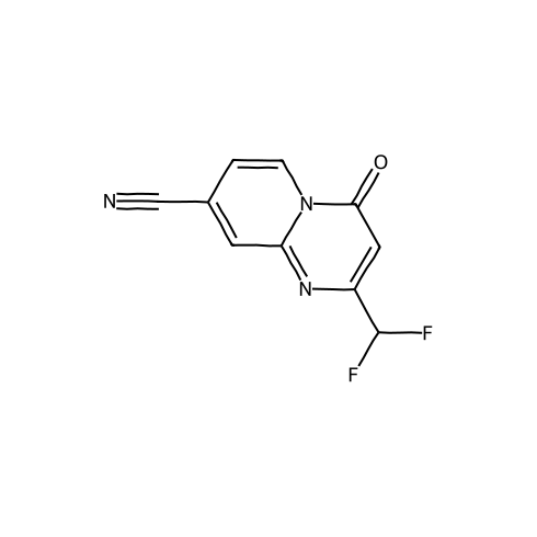 N#Cc1ccn2c(=O)cc(C(F)F)nc2c1